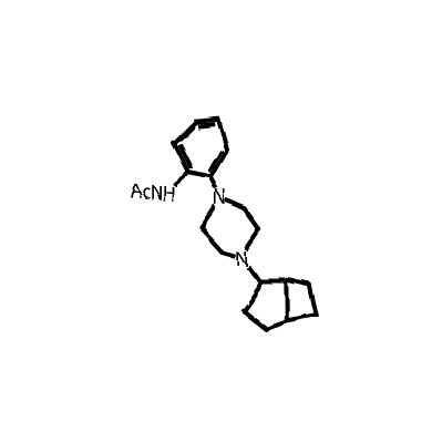 CC(=O)Nc1ccccc1N1CCN(C2CCC3CCC32)CC1